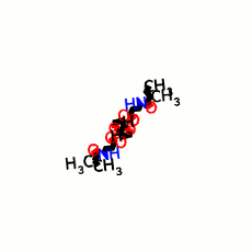 CCC(C)C(=O)NCCC(=O)O[C@H]1CO[C@H]2[C@@H]1OC[C@@H]2OC(=O)CCNC(=O)C(C)C